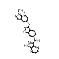 Cn1ncc2cc(Cc3noc4cc(Nc5n[nH]c6nccnc56)ccc34)ccc21